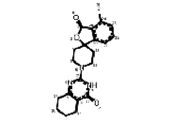 O=C1OC2(CCN(c3nc4c(c(=O)[nH]3)CCCC4)CC2)c2cccc(F)c21